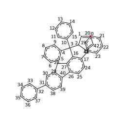 C1=CC(C(c2ccccc2)(c2ccccc2)c2c(-c3ccccc3)ccc3c2Cc2cc(-c4ccccc4)ccc2-3)C=C1